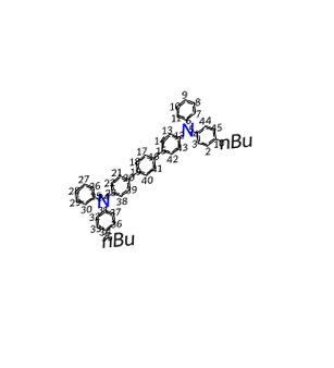 CCCCc1ccc(N(c2ccccc2)c2ccc(-c3ccc(-c4ccc(N(c5ccccc5)c5ccc(CCCC)cc5)cc4)cc3)cc2)cc1